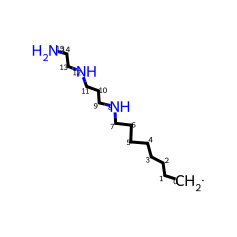 [CH2]CCCCCCCNCCCNCCN